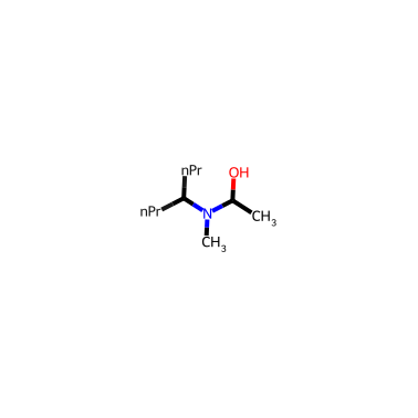 CCCC(CCC)N(C)C(C)O